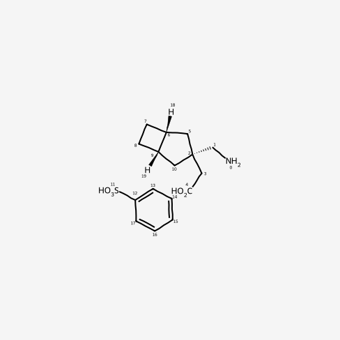 NC[C@@]1(CC(=O)O)C[C@H]2CC[C@H]2C1.O=S(=O)(O)c1ccccc1